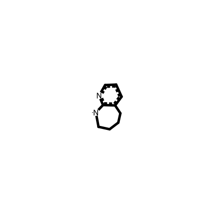 c1cnc2c(c1)CCCC[N]2